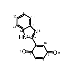 O=C1C=CC(=O)C(c2nc3ccccc3[nH]2)=C1